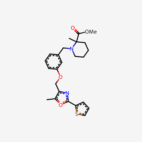 COC(=O)C1(C)CCCCN1Cc1cccc(OCc2nc(-c3cccs3)oc2C)c1